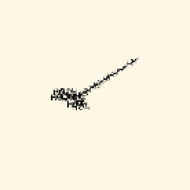 CCCCCCCCCCCCCCCCCCCCCCCCCC(=O)NC(CNC1C=CC(O)C(O)C1O)C(O)CC(O)CC